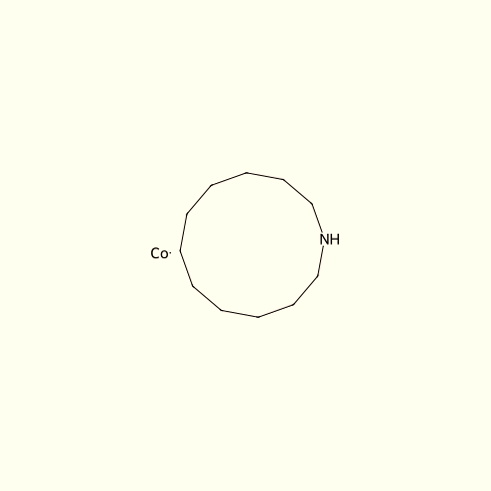 C1CCCCCNCCCCC1.[Co]